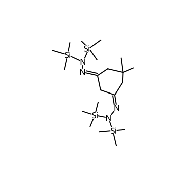 CC1(C)C/C(=N/N([Si](C)(C)C)[Si](C)(C)C)C/C(=N/N([Si](C)(C)C)[Si](C)(C)C)C1